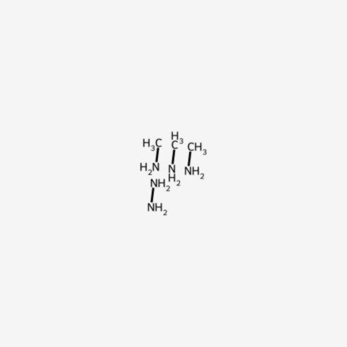 CN.CN.CN.NN